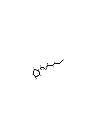 CCCCCOCN1CCCC1